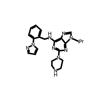 CC(C)n1cnc2c(NCc3ccccc3-n3cccn3)nc(N3CCNCC3)nc21